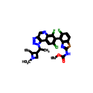 CC(C1CN(C(=O)O)C1C(C)(C)C)n1nnc2cnc3c(F)c(-c4c(F)ccc5sc(NC(=O)OC(C)(C)C)nc45)c(Cl)cc3c21